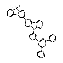 CC1(C)c2ccccc2-c2cc(-c3ccc4c(c3)c3ccccc3n4-c3cccc(-c4cc(-c5ccccc5)nc(-c5ccccc5)n4)c3)ccc21